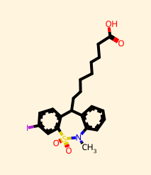 CN1c2ccccc2C(CCCCCCCC(=O)O)c2ccc(I)cc2S1(=O)=O